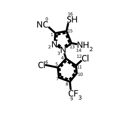 N#Cc1nn(-c2c(Cl)cc(C(F)(F)F)cc2Cl)c(N)c1S